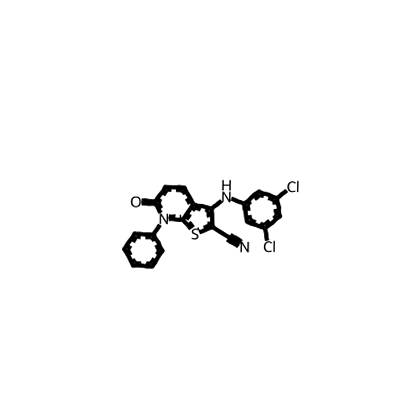 N#Cc1sc2c(ccc(=O)n2-c2ccccc2)c1Nc1cc(Cl)cc(Cl)c1